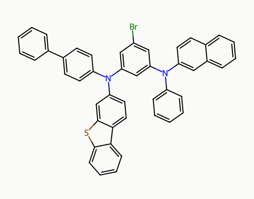 Brc1cc(N(c2ccccc2)c2ccc3ccccc3c2)cc(N(c2ccc(-c3ccccc3)cc2)c2ccc3c(c2)sc2ccccc23)c1